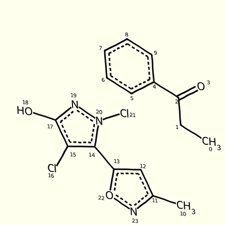 CCC(=O)c1ccccc1.Cc1cc(-c2c(Cl)c(O)nn2Cl)on1